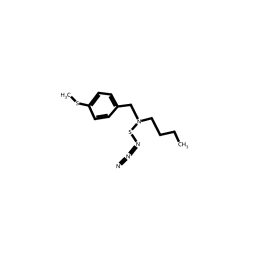 CCCCN(Cc1ccc(SC)cc1)SN=[N+]=[N-]